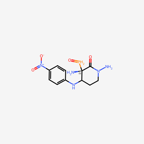 NN1CCC(Nc2ccc([N+](=O)[O-])cc2)[C@](N)([PH2]=O)C1=O